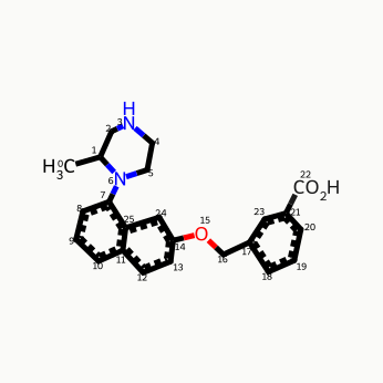 CC1CNCCN1c1cccc2ccc(OCc3cccc(C(=O)O)c3)cc12